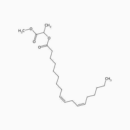 CCCCC/C=C\C/C=C\CCCCCCCC(=O)OC(C)C(=O)OC